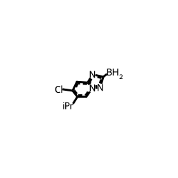 Bc1nc2cc(Cl)c(C(C)C)cn2n1